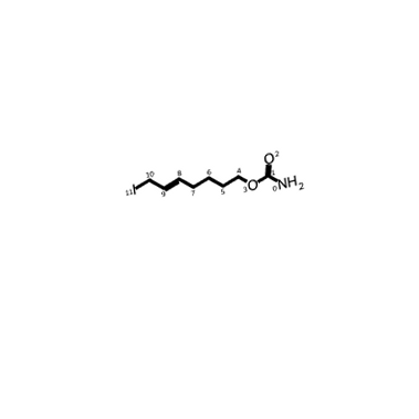 NC(=O)OCCCCC=CCI